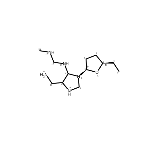 CC[C@@H]1CC[C@H](N2CNC(CN)C2NCNC)O1